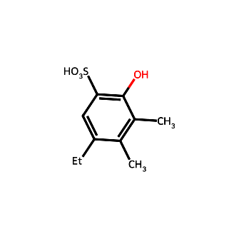 CCc1cc(S(=O)(=O)O)c(O)c(C)c1C